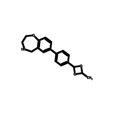 CC1OC(c2ccc(-c3ccc4c(c3)CNCCO4)cc2)O1